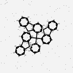 c1ccc(C(c2cccc3c2Cc2ccccc2-3)(c2cccc3c2Cc2ccccc2-3)c2cccc3c2Cc2ccccc2-3)nc1